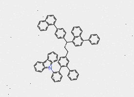 c1ccc(-c2cc(CCC(c3ccc(-c4cccc5ccccc45)cc3)c3ccc(-c4ccccc4)c4ccccc34)ccc2-c2ccccc2-n2c3ccccc3c3ccccc32)cc1